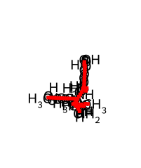 COCc1ccc(NC(=O)[C@H](CCCNC(N)=O)NC(=O)[C@@H](NC(=O)[C@@H](CCCCNC(=O)COC2CCCCC/C(NCCOCCOCCOCCOCCC(=O)NCCS(=O)(=O)O)=C\2N)NC(=O)CCOCCOCCOCCOCCNC(=O)CCC(C)=O)C(C)C)cc1